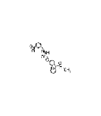 CCOC(=O)c1c2ccc(OCC(=O)N/N=C/c3cccc([N+](=O)[O-])c3)cc2n2ccccc12